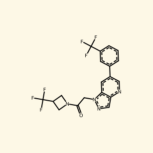 O=C(Cn1ncc2ncc(-c3cccc(C(F)(F)F)c3)cc21)N1CC(C(F)(F)F)C1